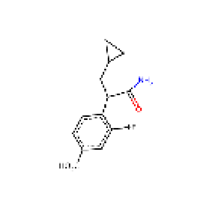 CCc1cc(C(=O)O)ccc1C(CC1CC1)C(N)=O